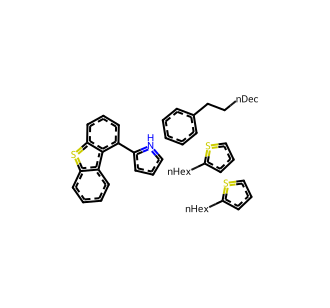 CCCCCCCCCCCCc1ccccc1.CCCCCCc1cccs1.CCCCCCc1cccs1.c1c[nH]c(-c2cccc3sc4ccccc4c23)c1